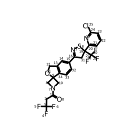 O=C(CC(F)(F)F)N1CC2(C1)OCc1cc(C3=NSC(c4cccc(Cl)n4)(C(F)(F)F)C3)ccc12